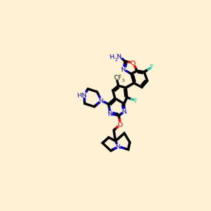 Nc1nc2c(-c3c(C(F)(F)F)cc4c(N5CCNCC5)nc(OCC56CCCN5CCC6)nc4c3F)ccc(F)c2o1